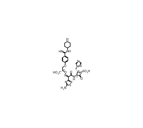 N=C(NC1CCNCC1)c1ccc(OC[C@H](ON=C(C(=O)N[C@@H]2C(=O)N(S(=O)(=O)O)[C@H]2Cn2cncn2)c2nsc(N)n2)C(=O)O)cc1